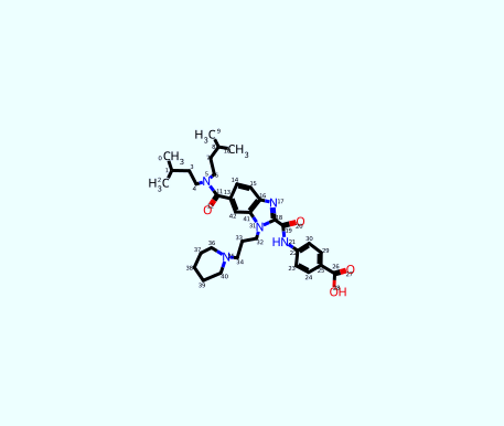 CC(C)CCN(CCC(C)C)C(=O)c1ccc2nc(C(=O)Nc3ccc(C(=O)O)cc3)n(CCCN3CCCCC3)c2c1